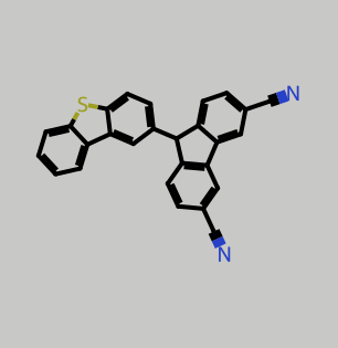 N#Cc1ccc2c(c1)-c1cc(C#N)ccc1C2c1ccc2sc3ccccc3c2c1